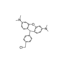 CN(C)c1ccc2c(c1)Oc1cc(N(C)C)ccc1C2c1ccc(CCl)cc1